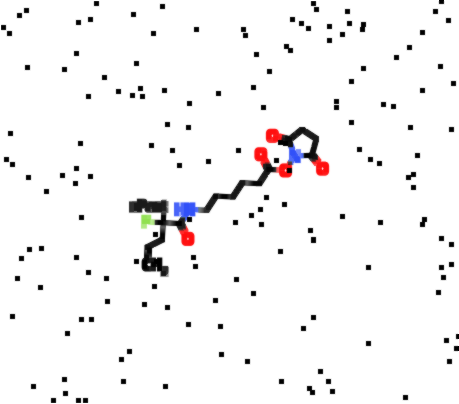 C=CCC(F)(CCCCC)C(=O)NCCCCCC(=O)ON1C(=O)CCC1=O